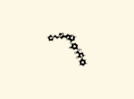 O=C(Nc1ccc(Oc2ccnc3cc(-c4cn(CCN5CCCC5)cn4)sc23)c(F)c1)C1CCN(c2ccccc2)C1=O